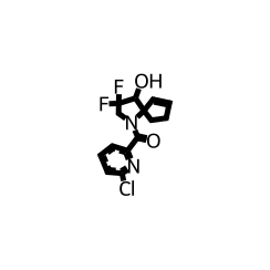 O=C(c1cccc(Cl)n1)N1CC(F)(F)C(O)C12C=CCC2